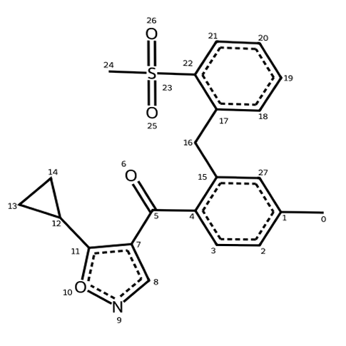 Cc1ccc(C(=O)c2cnoc2C2CC2)c(Cc2ccccc2S(C)(=O)=O)c1